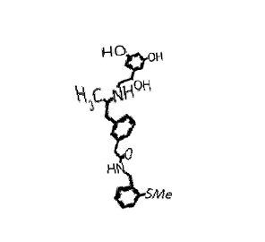 CSc1ccccc1CNC(=O)Cc1cccc(C[C@@H](C)NC[C@H](O)c2cc(O)cc(O)c2)c1